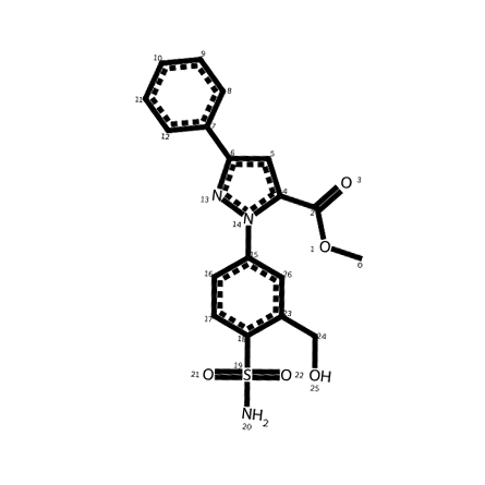 COC(=O)c1cc(-c2ccccc2)nn1-c1ccc(S(N)(=O)=O)c(CO)c1